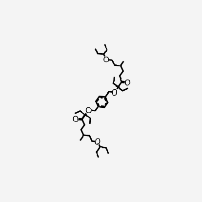 CCC(CC)OCCC(C)CCC(=O)C(CC)(CC)OCc1ccc(COC(CC)(CC)C(=O)CCC(C)CCOC(CC)CC)cc1